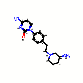 Nc1ccn(-c2ccc(CCN3CCCC(N)C3)cc2)c(=O)n1